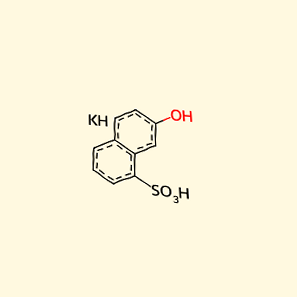 O=S(=O)(O)c1cccc2ccc(O)cc12.[KH]